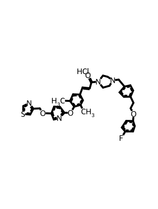 Cc1cc(C=CC(=O)N2CCN(Cc3ccc(CCOc4ccc(F)cc4)cc3)CC2)cc(C)c1Oc1ccc(OCc2cscn2)cn1.Cl